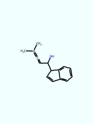 C[Si](C)=C=CC([NH])C1C=Cc2ccccc21